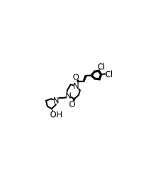 O=C(C=Cc1ccc(Cl)c(Cl)c1)N1CCC(=O)N(CCN2CCC[C@H](O)C2)CC1